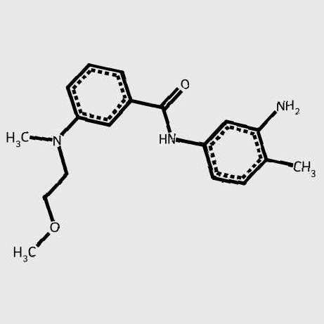 COCCN(C)c1cccc(C(=O)Nc2ccc(C)c(N)c2)c1